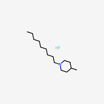 CCCCCCCCCN1CCC(C)CC1.F